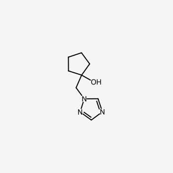 OC1(Cn2cncn2)CCCC1